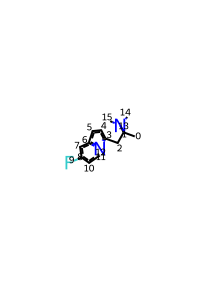 CC(Cc1ccc2cc(F)ccn12)N(C)C